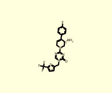 N[C@@H]1CN(c2ncn(Cc3ccc(C(F)(F)F)s3)c(=O)n2)CC=C1c1ccc(F)cc1